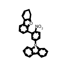 O=[N+]([O-])c1ccc(-n2c3ccccc3c3ccccc32)cc1-c1cccc2c3c(oc12)CCC=C3